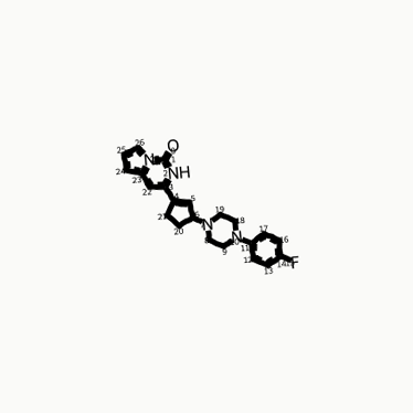 O=c1[nH]c(C2=CC(N3CCN(c4ccc(F)cc4)CC3)CC2)cc2cccn12